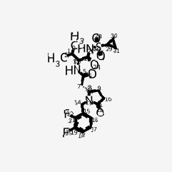 CC(C)[C@H](NC(=O)C[C@@H]1CCC(=O)N1Cc1cccc(F)c1F)C(=O)NS(=O)(=O)C1CC1